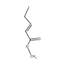 COC(=O)C=CCI